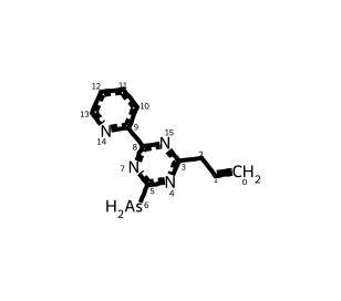 C=CCc1nc([AsH2])nc(-c2ccccn2)n1